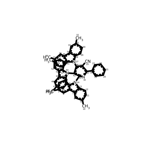 Cc1ccc2c(c1)c1cc(C)ccc1n2-c1nc(-c2ccccc2)c(C#N)c(-n2c3ccc(C)cc3c3cc(C)ccc32)c1-n1c2ccc(C)cc2c2cc(C)ccc21